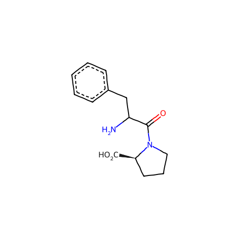 NC(Cc1ccccc1)C(=O)N1CCC[C@H]1C(=O)O